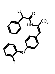 CCC(C(=O)N/C(=C\c1ccc(Oc2ccccc2I)cc1)C(=O)O)c1ccccc1